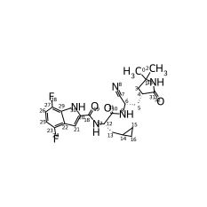 CC1(C)C[C@@H](C[C@@H](C#N)NC(=O)[C@H](CC2CC2)NC(=O)c2cc3c(F)ccc(F)c3[nH]2)C(=O)N1